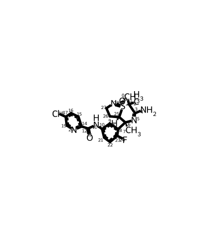 CC1(C)C(N)=N[C@](C)(c2cc(NC(=O)c3ccc(Cl)cn3)ccc2F)[C@@H]2CCN=[S@@]21=O